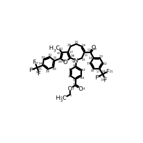 CCOC(=O)c1ccc(N2CC(C(=O)c3ccc(C(F)(F)F)cc3)=CCCc3c2oc(-c2ccc(C(F)(F)F)cc2)c3C)cc1